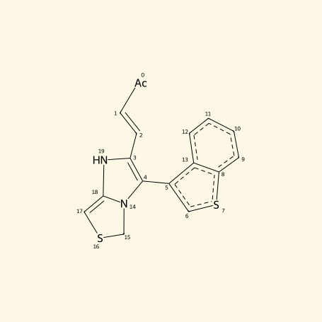 CC(=O)/C=C/C1=C(c2csc3ccccc23)N2CSC=C2N1